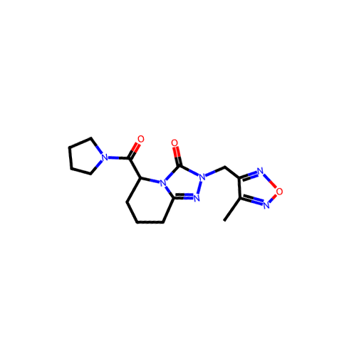 Cc1nonc1Cn1nc2n(c1=O)C(C(=O)N1CCCC1)CCC2